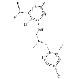 Cc1nc(NCC(C)Oc2ncc(Cl)cc2F)c(Cl)c(C(F)F)n1